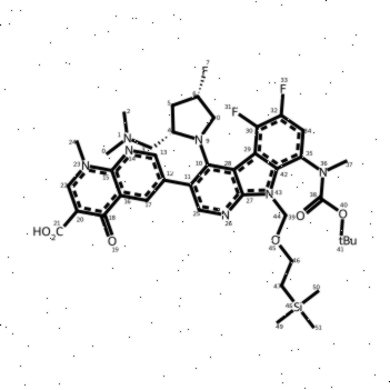 CN(C)C[C@@H]1C[C@H](F)CN1c1c(-c2cnc3c(c2)c(=O)c(C(=O)O)cn3C)cnc2c1c1c(F)c(F)cc(N(C)C(=O)OC(C)(C)C)c1n2COCC[Si](C)(C)C